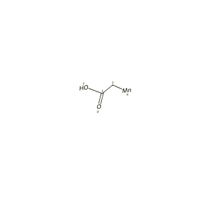 O=C(O)[CH2][Mn]